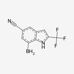 Bc1cc(C#N)cc2cc(C(F)(F)F)[nH]c12